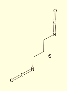 O=C=NCCCN=C=O.[S]